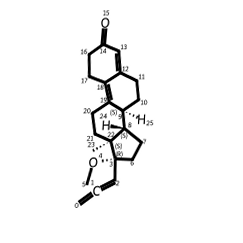 C=C=C[C@]1(OC)CC[C@H]2[C@@H]3CCC4=CC(=O)CCC4=C3CC[C@@]21C